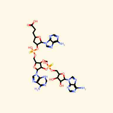 COC1C(COP(O)(=S)OC2CC(CCC(=O)O)OC2n2cnc3c(N)ncnc32)OC(n2cnc3c2NCN=C3N)C1OP(O)(=S)OCC1OC(n2cnc3c(N)ncnc32)C(O)C1O